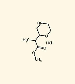 COC(=O)C(C)C1CNCCO1.Cl